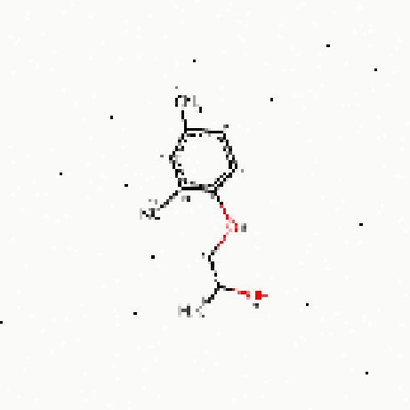 Cc1ccc(OCC(C)O)c(C#N)c1